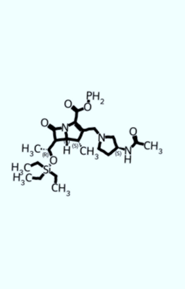 CC[Si](CC)(CC)O[C@H](C)C1C(=O)N2C(C(=O)OP)=C(CN3CC[C@H](NC(C)=O)C3)[C@H](C)[C@H]12